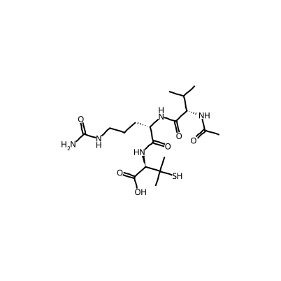 CC(=O)N[C@H](C(=O)N[C@@H](CCCNC(N)=O)C(=O)N[C@H](C(=O)O)C(C)(C)S)C(C)C